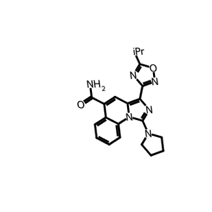 CC(C)c1nc(-c2nc(N3CCCC3)n3c2cc(C(N)=O)c2ccccc23)no1